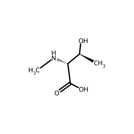 CN[C@@H](C(=O)O)[C@H](C)O